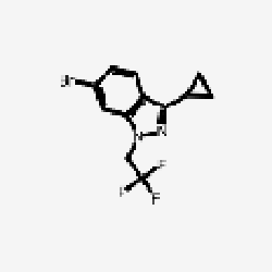 FC(F)(F)Cn1nc(C2CC2)c2ccc(Br)cc21